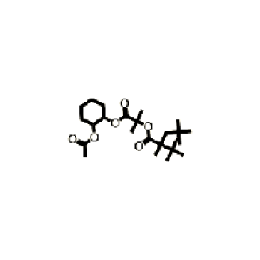 CC(=O)OC1CCCCC1OC(=O)C(C)(C)OC(=O)C(C)(CC(C)(C)C)C(C)(C)C